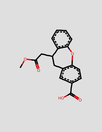 COC(=O)CC1Cc2cc(C(=O)O)ccc2Oc2ccccc21